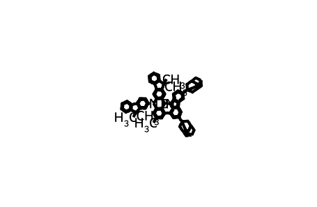 Cc1cc2c3c(c1)N(c1ccc4c(c1)C(C)(C)c1ccccc1-4)c1cc4c(cc1B3n1c3ccc(C56CC7CC(CC(C7)C5)C6)cc3c3cc(C56CC7CC(CC(C7)C5)C6)cc-2c31)C(C)(C)c1ccccc1-4